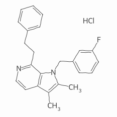 Cc1c(C)n(Cc2cccc(F)c2)c2c(CCc3ccccc3)nccc12.Cl